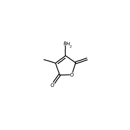 BC1=C(C)C(=O)OC1=C